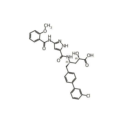 COc1ccccc1C(=O)Nc1cc(C(=O)N[C@H](Cc2ccc(-c3cccc(Cl)c3)cc2)C[C@@H](O)C(=O)O)[nH]n1